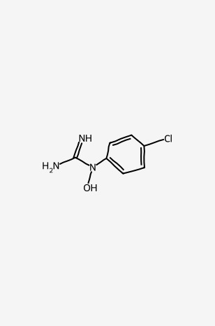 N=C(N)N(O)c1ccc(Cl)cc1